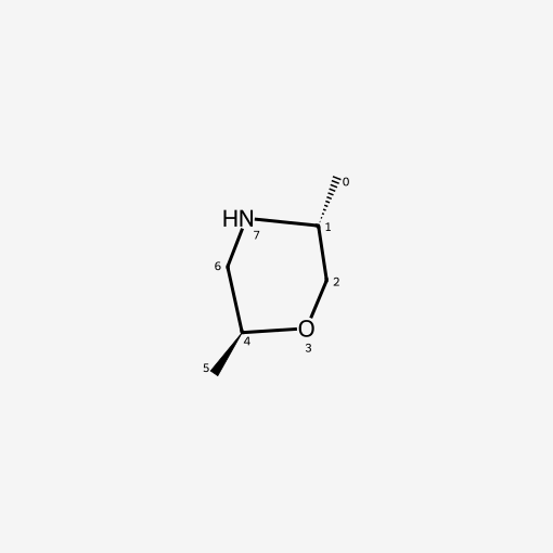 C[C@@H]1CO[C@@H](C)CN1